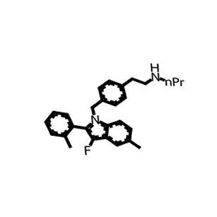 CCCNCCc1ccc(Cn2c(-c3ccccc3C)c(F)c3cc(C)ccc32)cc1